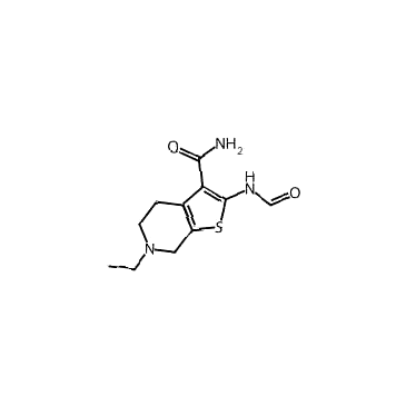 CCN1CCc2c(sc(NC=O)c2C(N)=O)C1